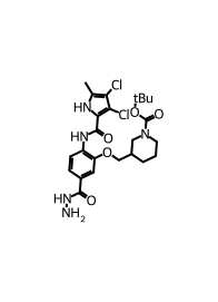 Cc1[nH]c(C(=O)Nc2ccc(C(=O)NN)cc2OCC2CCCN(C(=O)OC(C)(C)C)C2)c(Cl)c1Cl